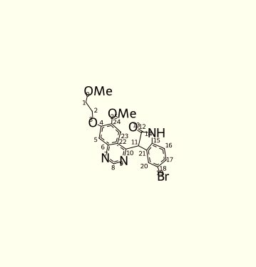 COCCOc1cc2ncnc(C3C(=O)Nc4ccc(Br)cc43)c2cc1OC